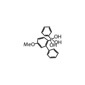 COc1ccc(P(O)(O)(O)c2ccccc2)c(-c2ccccc2)c1